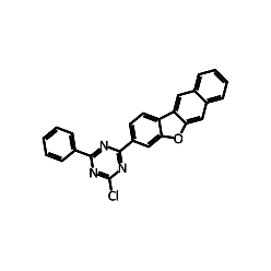 Clc1nc(-c2ccccc2)nc(-c2ccc3c(c2)oc2cc4ccccc4cc23)n1